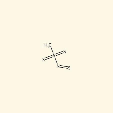 CS(=S)(=S)N=S